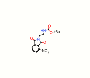 CC(C)(C)OC(=O)NCCN1C(=O)c2cccc([N+](=O)[O-])c2C1=O